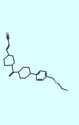 C=C(C1CCC(C=CC#N)CC1)C1CCC(c2ccc(CCCCC)cc2)CC1